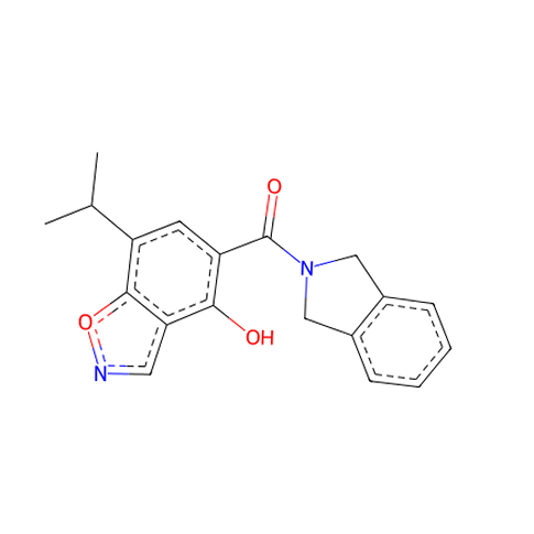 CC(C)c1cc(C(=O)N2Cc3ccccc3C2)c(O)c2cnoc12